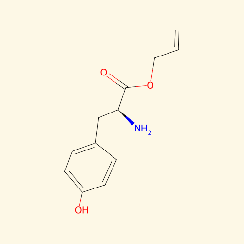 C=CCOC(=O)[C@@H](N)Cc1ccc(O)cc1